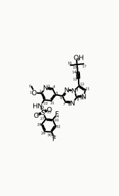 COc1ncc(-c2cnc3ncc(C#CC(C)(C)O)n3n2)cc1NS(=O)(=O)c1ccc(F)cc1F